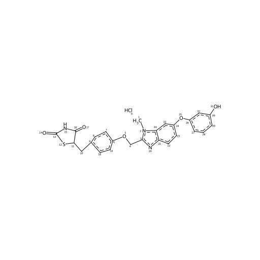 Cl.Cn1c(COc2ccc(CC3SC(=O)NC3=O)cc2)nc2ccc(Oc3cccc(O)c3)cc21